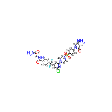 NC(=O)CNC(=O)[C@H]1CC[C@@H](C(F)(F)c2cc(Cl)nc(N3CCN(S(=O)(=O)c4ccc(N5C[C@H](N)CC5=O)cc4)CC3)c2)CC1